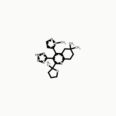 Cn1nccc1-c1c2c(nc(C3(C)CCCO3)c1-c1nn[nH]n1)CCC(C)(C)C2